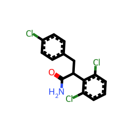 NC(=O)C(Cc1ccc(Cl)cc1)c1c(Cl)cccc1Cl